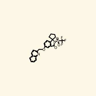 CC(=O)N(C1(c2ccc(OCc3ccc4ccccc4n3)cc2)CCCC1)S(=O)(=O)C(F)(F)F